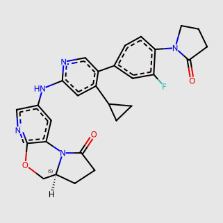 O=C1CCCN1c1ccc(-c2cnc(Nc3cnc4c(c3)N3C(=O)CC[C@H]3CO4)cc2C2CC2)cc1F